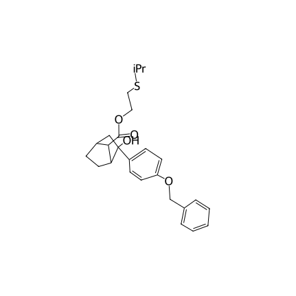 CC(C)SCCOC(=O)C1C2CCC1C(O)(c1ccc(OCc3ccccc3)cc1)C2